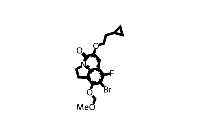 COCOc1c(Br)c(F)c2cc(OCCC3CC3)c(=O)n3c2c1CC3